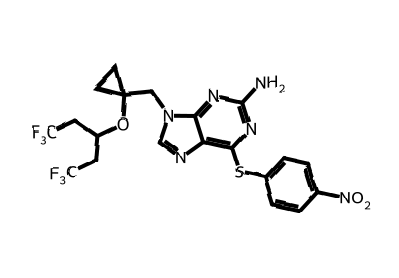 Nc1nc(Sc2ccc([N+](=O)[O-])cc2)c2ncn(CC3(OC(CC(F)(F)F)CC(F)(F)F)CC3)c2n1